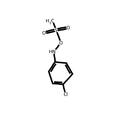 CS(=O)(=O)ONc1ccc(Cl)cc1